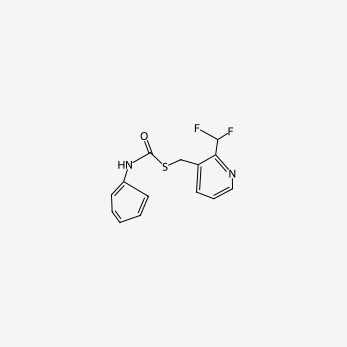 O=C(Nc1ccccc1)SCc1cccnc1C(F)F